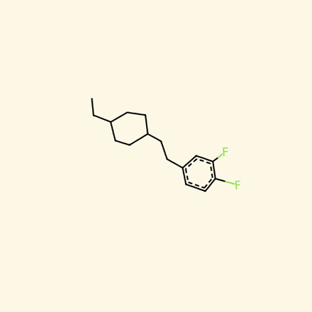 CCC1CCC(CCc2ccc(F)c(F)c2)CC1